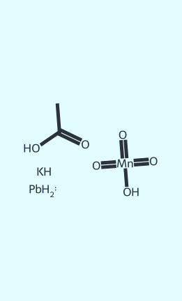 CC(=O)O.[KH].[O]=[Mn](=[O])(=[O])[OH].[PbH2]